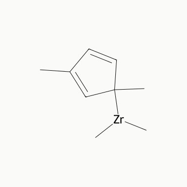 CC1=C[C](C)([Zr]([CH3])[CH3])C=C1